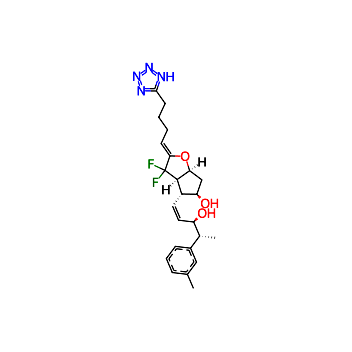 Cc1cccc([C@@H](C)[C@H](O)/C=C\[C@@H]2[C@@H]3[C@H](C[C@H]2O)OC(=CCCCc2nnn[nH]2)C3(F)F)c1